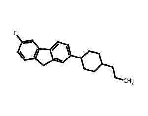 CCCC1CCC(c2ccc3c(c2)Cc2ccc(F)cc2-3)CC1